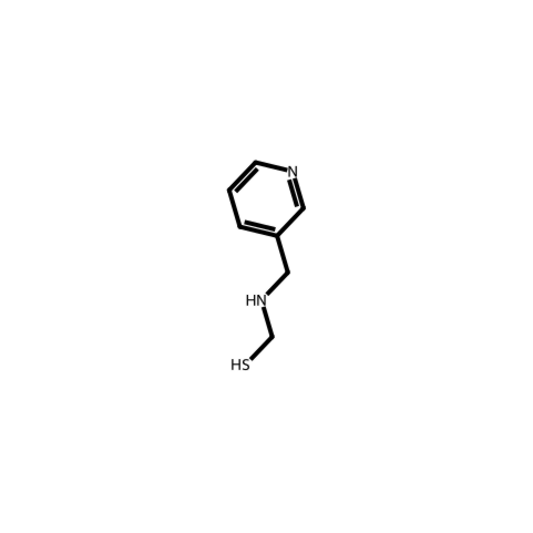 SCNCc1cccnc1